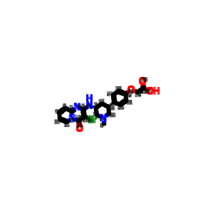 CN1C[C@H](Nc2nc3ccccn3c(=O)c2Br)C[C@H](c2ccc(OCC(=O)O)cc2)C1